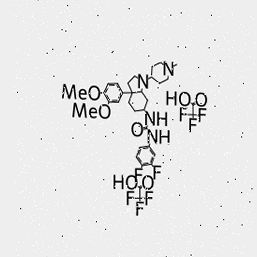 COc1ccc(C23CCC(NC(=O)Nc4ccc(F)c(F)c4)CC2N(C2CCN(C)CC2)CC3)cc1OC.O=C(O)C(F)(F)F.O=C(O)C(F)(F)F